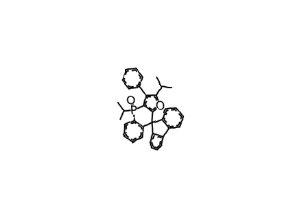 CC(C)c1oc2c(c1-c1ccccc1)P(=O)(C(C)C)c1ccccc1C21c2ccccc2-c2ccccc21